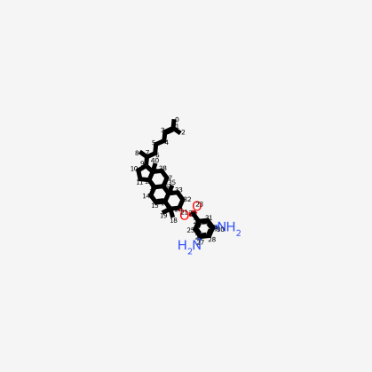 CC(C)=CCCCC(C)C1CCC2C3CC=C4C(C)(C)C(OC(=O)c5cc(N)cc(N)c5)CCC4(C)C3CCC12C